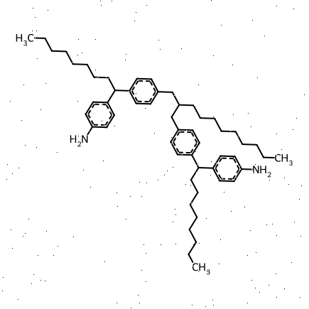 CCCCCCCCCC(Cc1ccc(C(CCCCCCCC)c2ccc(N)cc2)cc1)Cc1ccc(C(CCCCCCCC)c2ccc(N)cc2)cc1